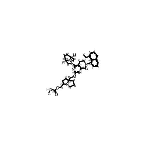 CCc1cccc2cccc(N3CCc4c(nc(OCC56CCCN5C(COC(=O)NC)CC6)nc4N4C[C@H]5CC[C@@H](C4)N5)C3)c12